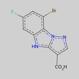 O=C(O)c1cnn2c1[nH]c1cc(F)cc(Br)c12